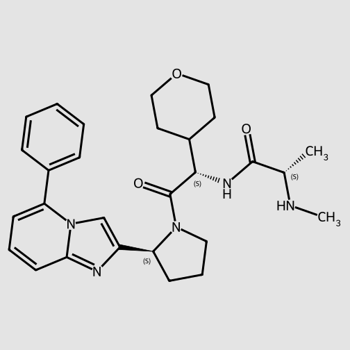 CN[C@@H](C)C(=O)N[C@H](C(=O)N1CCC[C@H]1c1cn2c(-c3ccccc3)cccc2n1)C1CCOCC1